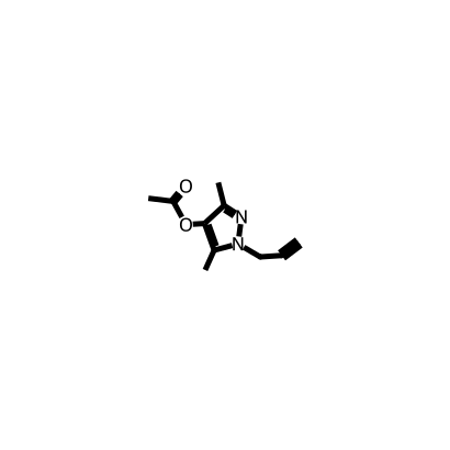 C#CCn1nc(C)c(OC(C)=O)c1C